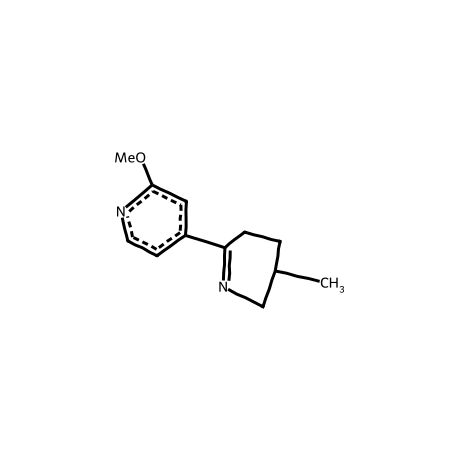 COc1cc(C2=NCC(C)CC2)ccn1